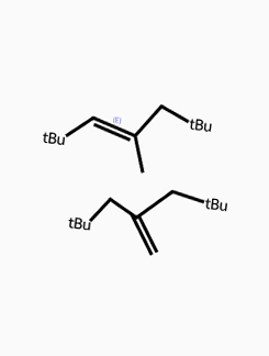 C/C(=C\C(C)(C)C)CC(C)(C)C.C=C(CC(C)(C)C)CC(C)(C)C